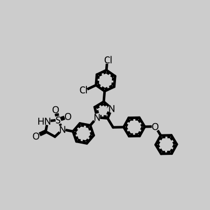 O=C1CN(c2cccc(-n3cc(-c4ccc(Cl)cc4Cl)nc3Cc3ccc(Oc4ccccc4)cc3)c2)S(=O)(=O)N1